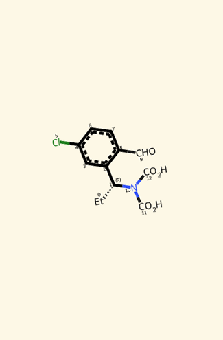 CC[C@H](c1cc(Cl)ccc1C=O)N(C(=O)O)C(=O)O